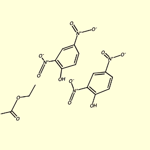 CCOC(C)=O.O=[N+]([O-])c1ccc(O)c([N+](=O)[O-])c1.O=[N+]([O-])c1ccc(O)c([N+](=O)[O-])c1